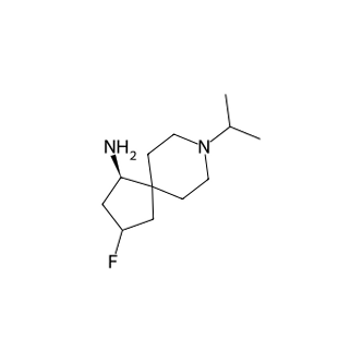 CC(C)N1CCC2(CC1)CC(F)C[C@H]2N